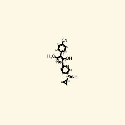 Cc1nn(-c2ccc([S@@](=N)C3CC3)cn2)c(O)c1-c1ccc(C#N)cc1